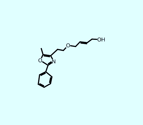 Cc1oc(-c2ccccc2)nc1CCOC/C=C/CO